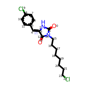 O=C1N/C(=C\c2ccc(Cl)cc2)C(=O)N1CCCCCCCCCl